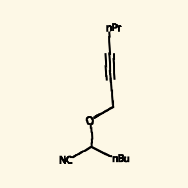 CCCC#CCOC(C#N)CCCC